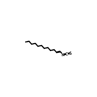 CCCCCCCCCCC=CN=C=S